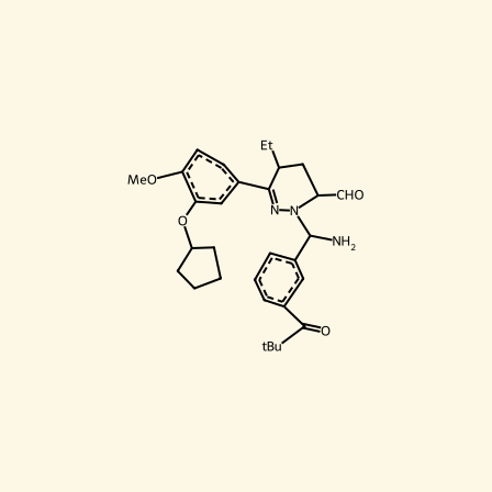 CCC1CC(C=O)N(C(N)c2cccc(C(=O)C(C)(C)C)c2)N=C1c1ccc(OC)c(OC2CCCC2)c1